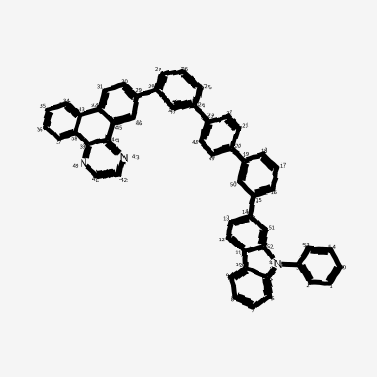 c1ccc(-n2c3ccccc3c3ccc(-c4cccc(-c5ccc(-c6cccc(-c7ccc8c9ccccc9c9nccnc9c8c7)c6)cc5)c4)cc32)cc1